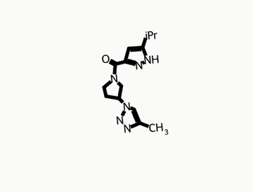 Cc1cn(C2CCN(C(=O)c3cc(C(C)C)[nH]n3)C2)nn1